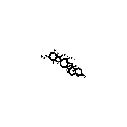 CC1=C2C[C@H]3[C@@H](CCC4=CC(=O)CCC43C)[C@@H]2CC[C@@]2(C1)O[C@@H]1C[C@H](C)CN[C@H]1[C@H]2C